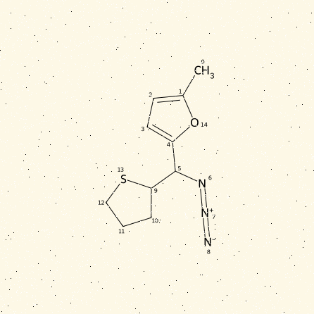 Cc1ccc(C(N=[N+]=[N-])C2CCCS2)o1